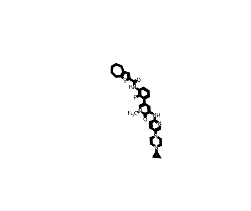 Cn1cc(-c2cccc(NC(=O)c3cc4c(s3)CCCCC4)c2F)cc(Nc2ccc(N3CCN(C4CC4)CC3)cn2)c1=O